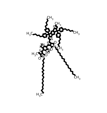 CCCCCCCCCCCCCCCCCCCCN1C(=O)c2c(C)sc(-c3c4c(c(-c5sc(-c6cc7c(s6)-c6cc8c(cc6C7(c6ccc(CCCCCC)cc6)c6ccc(CCCCCC)cc6)-c6sc(C)cc6C8(c6ccc(CCCCCC)cc6)c6ccc(CCCCCC)cc6)c6c5C(=O)N(CCCCCCCCCCCCCCCCCCCC)C6=O)c5nsnc35)N=S=N4)c2C1=O